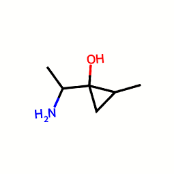 CC(N)C1(O)CC1C